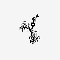 COC(=O)NC(C(=O)NC[C@@H](O)CN(Cc1ccc(-c2ccn(C3CC3)n2)cc1)NC(=O)[C@@H](NC(=O)OC)C(C)(C)C(F)(F)F)C(C)(C)C(F)(F)F